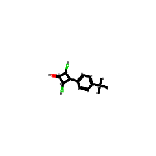 C[Si](C)(C)c1ccc(C2C(Cl)C(=O)C2Cl)cc1